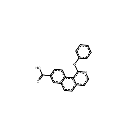 O=C(O)c1ccc2c(ccc3ccnc(Oc4ccccc4)c32)c1